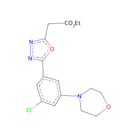 CCOC(=O)Cc1nnc(-c2cc(Cl)cc(N3CCOCC3)c2)o1